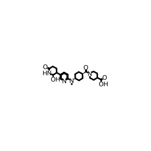 CN(c1ccc(C2CCC(=O)NC2O)cn1)[C@H]1CC[C@H](C(=O)N2CCC(C(=O)O)CC2)CC1